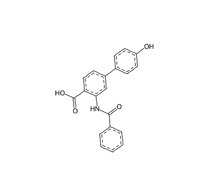 O=C(Nc1cc(-c2ccc(O)cc2)ccc1C(=O)O)c1ccccc1